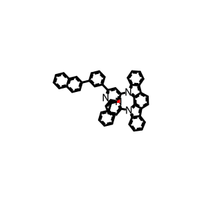 c1ccc(-c2cc(-n3c4ccccc4c4ccc5c6ccccc6n(-c6ccccn6)c5c43)cc(-c3cccc(-c4ccc5ccccc5c4)c3)n2)cc1